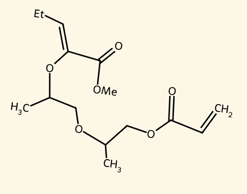 C=CC(=O)OCC(C)OCC(C)OC(=CCC)C(=O)OC